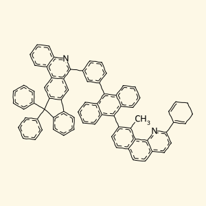 Cc1c(-c2c3ccccc3c(-c3cccc(-c4nc5ccccc5c5cc6c(cc45)-c4ccccc4C6(c4ccccc4)c4ccccc4)c3)c3ccccc23)ccc2ccc3ccc(C4=CCCC=C4)nc3c12